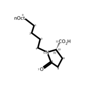 CCCCCCCCCCCCN1C(=O)CC[C@H]1C(=O)O